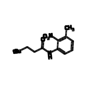 Cc1cccc(NC(=O)CCC(C)(C)C)c1[N+](=O)[O-]